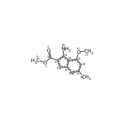 COC(=O)c1sc2nc(C)cc(OC)c2c1N